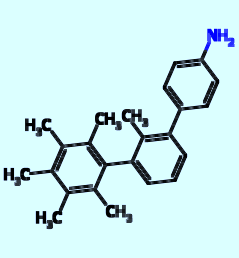 Cc1c(-c2ccc(N)cc2)cccc1-c1c(C)c(C)c(C)c(C)c1C